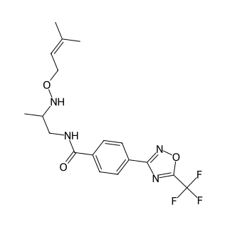 CC(C)=CCONC(C)CNC(=O)c1ccc(-c2noc(C(F)(F)F)n2)cc1